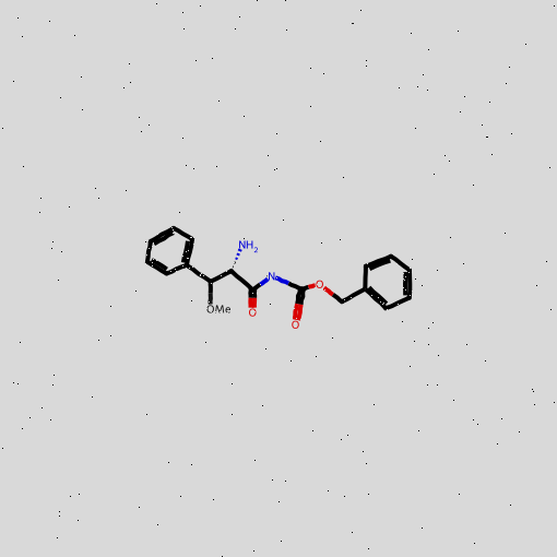 COC(c1ccccc1)[C@H](N)C(=O)[N]C(=O)OCc1ccccc1